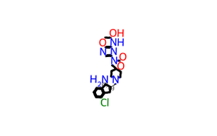 N[C@@H]1c2cccc(Cl)c2C[C@H]1CN1CCC2(CC1)CN(c1cnc3c(n1)NC(O)CO3)C(=O)O2